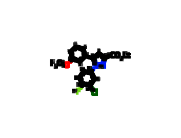 CCOC(=O)c1cc(-c2cccc(OC(F)(F)F)c2)n(-c2ccc(F)c(Cl)c2)n1